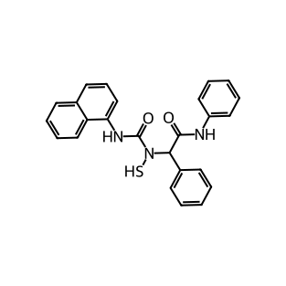 O=C(Nc1ccccc1)C(c1ccccc1)N(S)C(=O)Nc1cccc2ccccc12